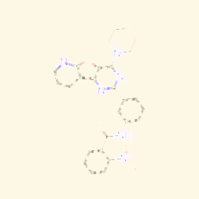 O=C(Nc1cccc(-c2nc(N3CCOCC3)c3oc4ncccc4c3n2)c1)c1ccccc1[N+](=O)[O-]